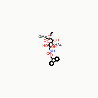 C=CCO[C@]1(C(=O)OC)C[C@@H](O)[C@@H](NC(C)=O)C([C@H](O)[C@H](O)CNC(=O)OCC2c3ccccc3-c3ccccc32)O1